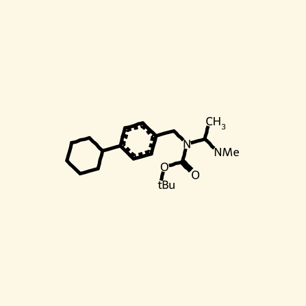 CNC(C)N(Cc1ccc(C2CCCCC2)cc1)C(=O)OC(C)(C)C